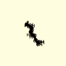 Cc1ccc(F)c(NC(=O)Nc2ccc(Oc3ccnc(-c4cc(C(=O)NCCCC(=O)OCC(CO)(CO)CO)c[nH]4)c3)cc2)c1